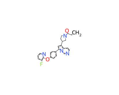 C=CC(=O)N1CCC(c2cc(-c3ccc(Oc4ncccc4F)cc3)n3cnccc23)C1